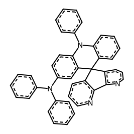 c1ccc(N(c2ccccc2)c2ccc3c(c2)C2(c4ccccc4N3c3ccccc3)c3cccnc3-c3ncccc32)cc1